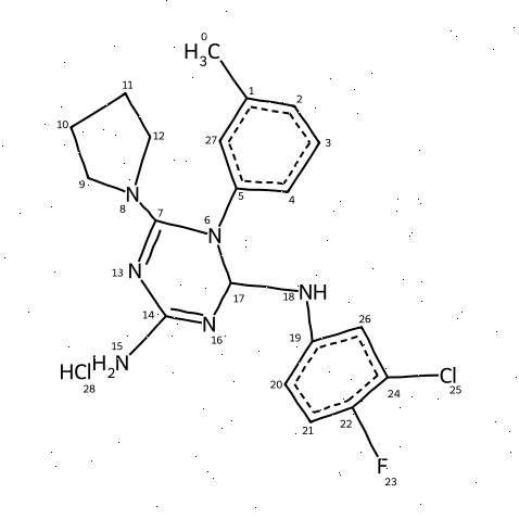 Cc1cccc(N2C(N3CCCC3)=NC(N)=NC2Nc2ccc(F)c(Cl)c2)c1.Cl